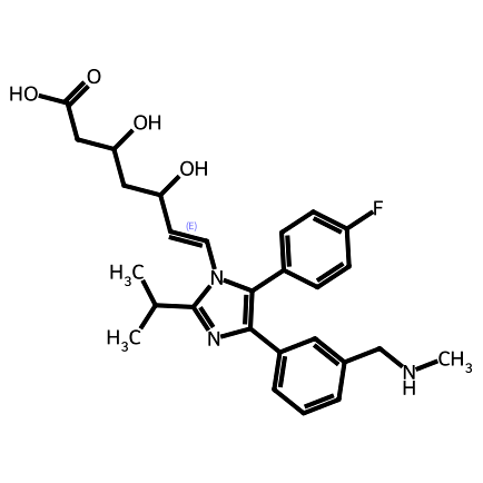 CNCc1cccc(-c2nc(C(C)C)n(/C=C/C(O)CC(O)CC(=O)O)c2-c2ccc(F)cc2)c1